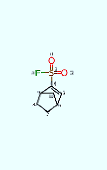 O=S(=O)(F)C1=CC2CCC1C2